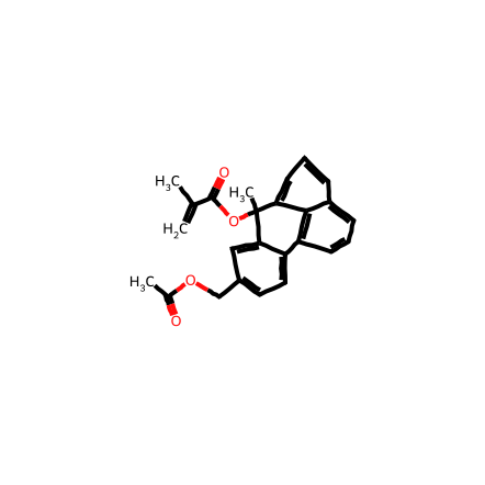 C=C(C)C(=O)OC1(C)c2cc(COC(C)=O)ccc2-c2cccc3cccc1c23